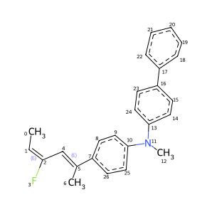 C/C=C(F)\C=C(/C)c1ccc(N(C)c2ccc(-c3ccccc3)cc2)cc1